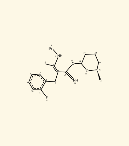 C/C(NC(C)C)=C(\Cc1ccccc1F)C(=N)OC1CCC[C@@H](C)O1